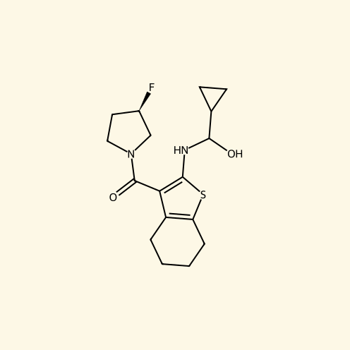 O=C(c1c(NC(O)C2CC2)sc2c1CCCC2)N1CC[C@@H](F)C1